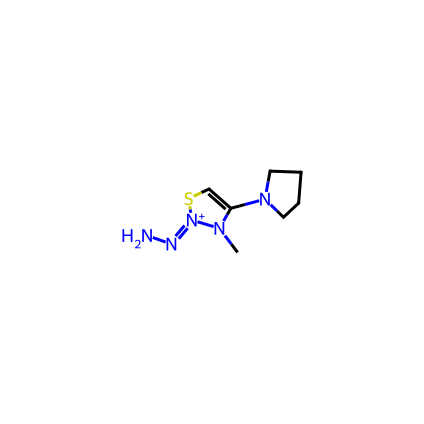 CN1C(N2CCCC2)=CS[N+]1=NN